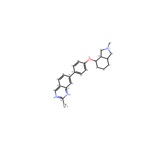 CN1CC2CCCC(Oc3ccc(-c4ccc5cnc(C(F)(F)F)nc5c4)cc3)C2C1